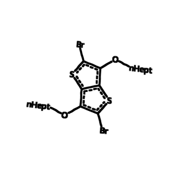 CCCCCCCOc1c(Br)sc2c(OCCCCCCC)c(Br)sc12